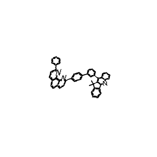 CC1(C)c2ccccc2-c2nc3ccccc3c(-c3cccc(-c4ccc(-c5ccc6ccc7ccc(-c8ccccc8)nc7c6n5)cc4)c3)c21